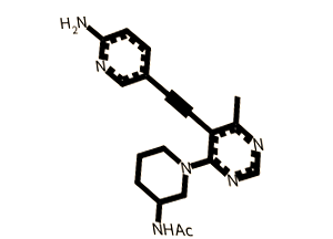 CC(=O)NC1CCCN(c2ncnc(C)c2C#Cc2ccc(N)nc2)C1